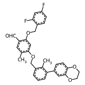 Cc1cc(C=O)c(OCc2ccc(F)cc2F)cc1OCc1cccc(-c2ccc3c(c2)OCCO3)c1C